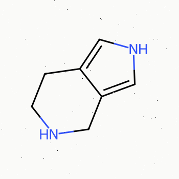 c1[nH]cc2c1CCNC2